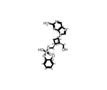 Nc1ncc2ncn([C@@H]3C[C@H](COP(=O)(O)Oc4ccccc4Cl)[C@@H]3CO)c2n1